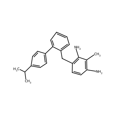 Cc1c(N)ccc(Cc2ccccc2-c2ccc(C(C)C)cc2)c1N